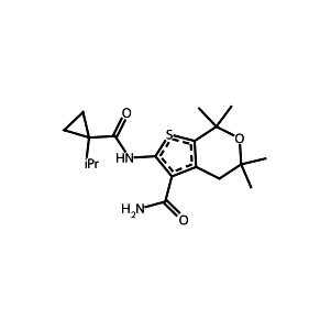 CC(C)C1(C(=O)Nc2sc3c(c2C(N)=O)CC(C)(C)OC3(C)C)CC1